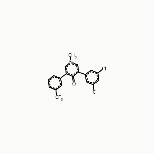 Cn1cc(-c2cc(Cl)cc(Cl)c2)c(=O)c(-c2cccc(C(F)(F)F)c2)c1